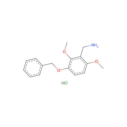 COc1ccc(OCc2ccccc2)c(OC)c1CN.Cl